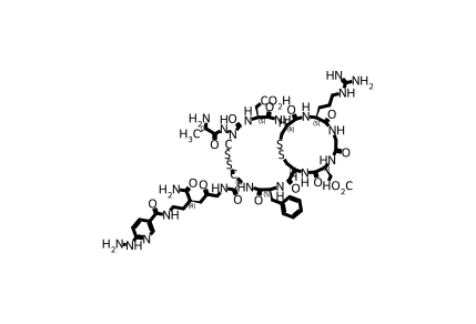 C[C@H](N)C(=O)NN1CSSC[C@@H](C(=O)NCC(=O)C[C@@H](CCNC(=O)c2ccc(NN)nc2)C(N)=O)NC(=O)[C@H](Cc2ccccc2)NC(=O)[C@@H]2CSSC[C@H](NC(=O)[C@H](CC(=O)O)NC1=O)C(=O)N[C@@H](CCCNC(=N)N)C(=O)NCC(=O)N[C@@H](CC(=O)O)C(=O)N2